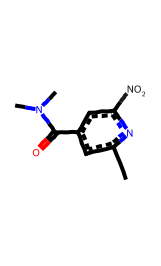 Cc1cc(C(=O)N(C)C)cc([N+](=O)[O-])n1